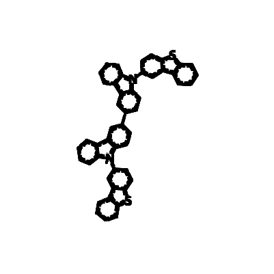 c1ccc2c(c1)sc1ccc(-n3c4ccccc4c4cc(-c5ccc6c(c5)c5ccccc5n6-c5ccc6sc7ccccc7c6c5)ccc43)cc12